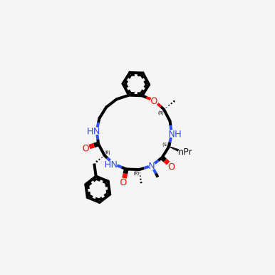 CCC[C@@H]1NC[C@@H](C)Oc2ccccc2CCCNC(=O)[C@@H](Cc2ccccc2)NC(=O)[C@@H](C)N(C)C1=O